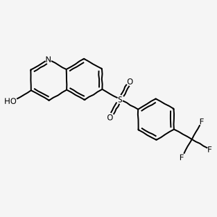 O=S(=O)(c1ccc(C(F)(F)F)cc1)c1ccc2ncc(O)cc2c1